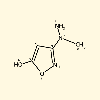 CN(N)c1cc(O)on1